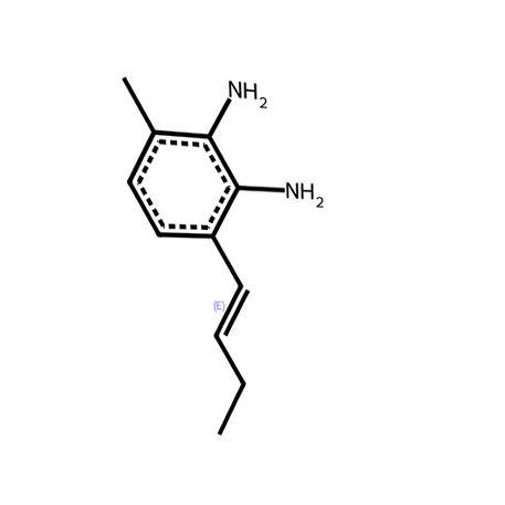 CC/C=C/c1ccc(C)c(N)c1N